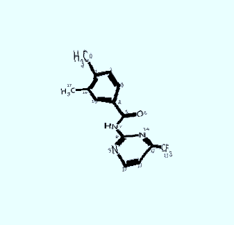 Cc1ccc(C(=O)Nc2nccc(C(F)(F)F)n2)cc1C